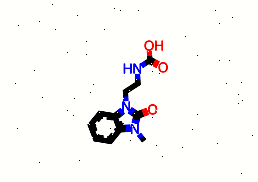 Cn1c(=O)n(CCNC(=O)O)c2ccccc21